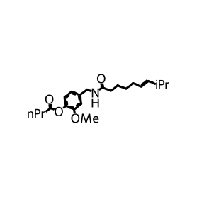 CCCC(=O)Oc1ccc(CNC(=O)CCCC/C=C/C(C)C)cc1OC